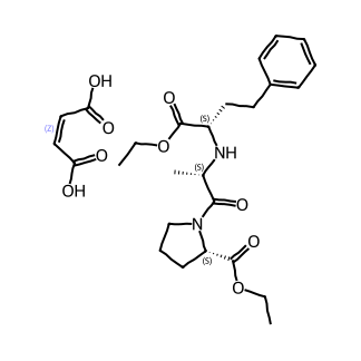 CCOC(=O)[C@H](CCc1ccccc1)N[C@@H](C)C(=O)N1CCC[C@H]1C(=O)OCC.O=C(O)/C=C\C(=O)O